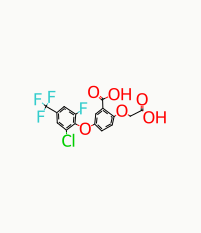 O=C(O)COc1ccc(Oc2c(F)cc(C(F)(F)F)cc2Cl)cc1C(=O)O